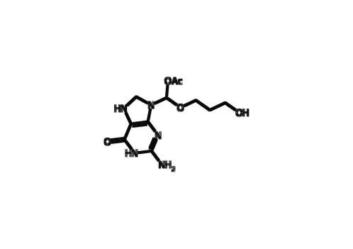 CC(=O)OC(OCCCO)N1CNc2c1nc(N)[nH]c2=O